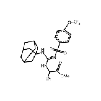 COC(=O)C(N/C(=N/S(=O)(=O)c1ccc(OC(F)(F)F)cc1)NC12CC3CC(CC(C3)C1)C2)C(C)C